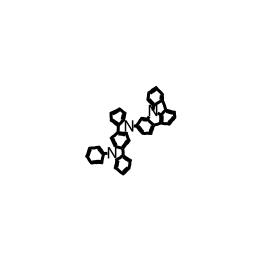 c1ccc(-n2c3ccccc3c3cc4c(cc32)c2ccccc2n4-c2ccc3c4cccc5c6ccccc6n(c3c2)c54)cc1